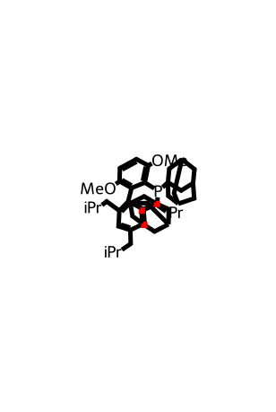 COc1ccc(OC)c(P(C23CC4CC(CC(C4)C2)C3)C23CC4CC(CC(C4)C2)C3)c1-c1c(CC(C)C)cc(CC(C)C)cc1CC(C)C